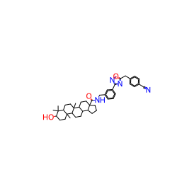 CC1(C)C(O)CCC2(C)C1CCC1(C)C3CCC4(C(=O)NCc5cccc(-c6noc(Cc7ccc(C#N)cc7)n6)c5)CCCC4C3CCC12